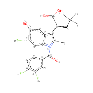 Cc1c([C@H](CC(C)(C)C)C(=O)O)c2cc(O)c(F)cc2n1C(=O)c1ccc(F)c(F)c1